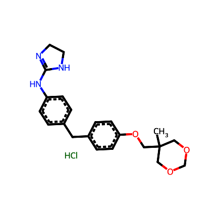 CC1(COc2ccc(Cc3ccc(NC4=NCCN4)cc3)cc2)COCOC1.Cl